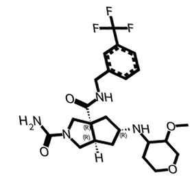 COC1COCCC1N[C@@H]1C[C@H]2CN(C(N)=O)C[C@@]2(C(=O)NCc2cccc(C(F)(F)F)c2)C1